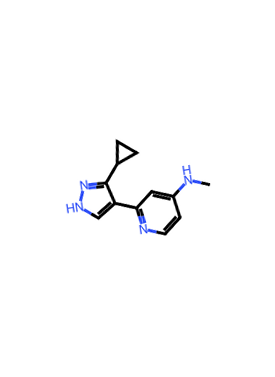 CNc1ccnc(-c2c[nH]nc2C2CC2)c1